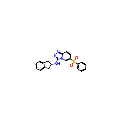 O=S(=O)(c1ccccc1)c1ccc2nnc(NC3Cc4ccccc4C3)n2c1